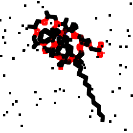 CCCCCCCCCCCCCCCCCC[N+](Cc1ccccc1)(Cc1ccccc1)CC(C)OCC(C)OCC(C)OCC(C)OCC(C)OCC(C)OCC(C)OCC(C)OCC(C)OCC(C)OCC(C)OCC(C)OCC(C)OCC(C)OCC(C)OCC(C)OCC(C)OCC(C)OCC(C)OCC(C)OCC(C)OCC(C)OCC(C)OCC(C)OCC(C)OCCOCC(=O)[O-]